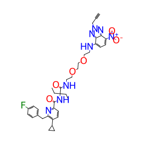 C#CCn1nc2c(NCCOCCOCCNC(=O)C(CC)(CC)NC(=O)c3ccc(C4CC4)c(Cc4ccc(F)cc4)n3)ccc([N+](=O)[O-])c2n1